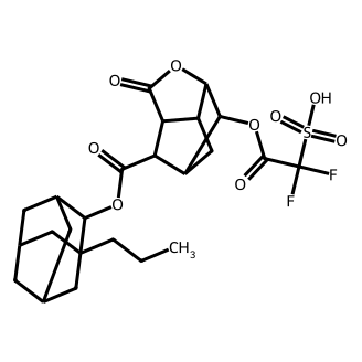 CCCC12CC3CC(CC(C3)C1OC(=O)C1C3CC4C(OC(=O)C41)C3OC(=O)C(F)(F)S(=O)(=O)O)C2